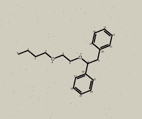 CCCCOCCOC([CH]c1ccccc1)c1ccccc1